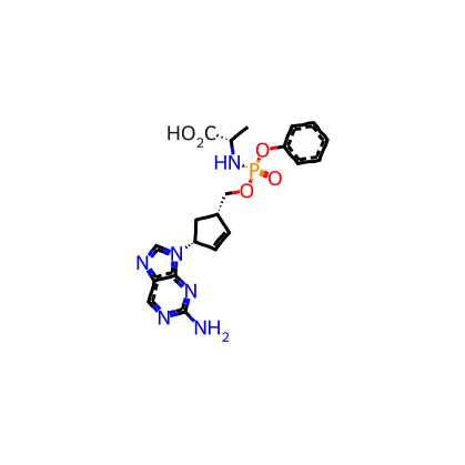 C[C@H](N[P@](=O)(OC[C@@H]1C=C[C@H](n2cnc3cnc(N)nc32)C1)Oc1ccccc1)C(=O)O